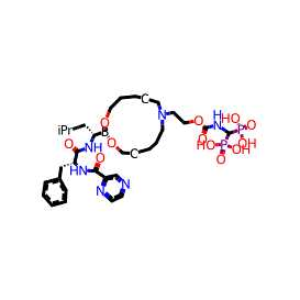 CC(C)C[C@@H](NC(=O)[C@@H](Cc1ccccc1)NC(=O)c1cnccn1)B1OCCCCCN(CCOC(=O)NC(P(=O)(O)O)P(=O)(O)O)CCCCCO1